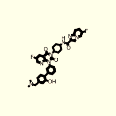 CN(C)Cc1ccc(-c2cccc(-n3c(=O)n(C4CCC(NC(=O)c5cn6cc(F)ccc6n5)CC4)c(=O)c4cc(F)cnc43)c2)c(O)c1